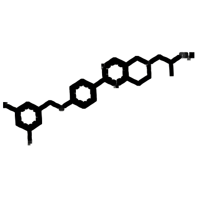 CC(CN1CCc2nc(-c3ccc(OCc4cc(F)cc(F)c4)cc3)ncc2C1)C(=O)O